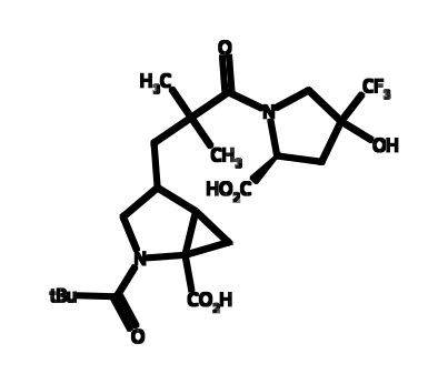 CC(C)(C)C(=O)N1CC(CC(C)(C)C(=O)N2CC(O)(C(F)(F)F)C[C@H]2C(=O)O)C2CC21C(=O)O